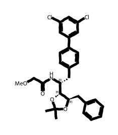 COCC(=O)N[C@H](Cc1ccc(-c2cc(Cl)cc(Cl)c2)cc1)[C@H]1OC(C)(C)O[C@@H]1Cc1ccccc1